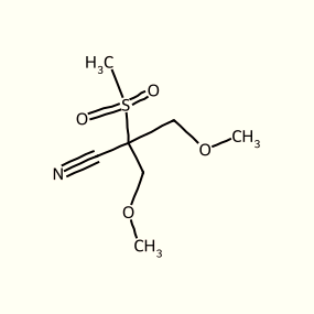 COCC(C#N)(COC)S(C)(=O)=O